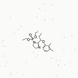 CCOP(=O)(OCC)N1CCN=C1C(CC)Oc1cccc(C)c1C